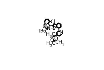 CC1(C)OCC(C)(c2ccnc(-c3cccc4cc(C(N[S@@+]([O-])C(C)(C)C)c5ncccc5Cl)sc34)c2)O1